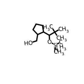 C[SiH](C)OC(C1CCCC1CO)C(C)(C)C